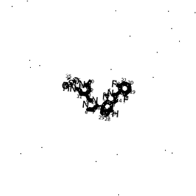 Cc1cc(-c2nccc([C@@]34CC[C@@H](c5cc(-c6c(F)cccc6F)nnc53)C4(C)C)n2)cc(NS(C)(=O)=O)n1